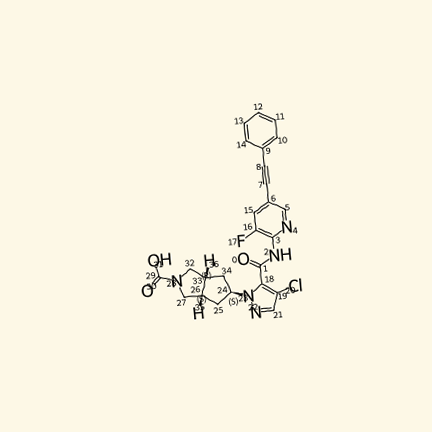 O=C(Nc1ncc(C#Cc2ccccc2)cc1F)c1c(Cl)cnn1[C@H]1C[C@@H]2CN(C(=O)O)C[C@@H]2C1